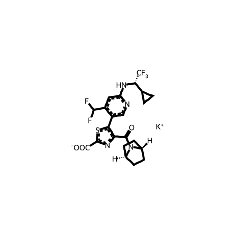 O=C([O-])c1nc(C(=O)N2[C@H]3CC[C@H]2CC3)c(-c2cnc(N[C@@H](C3CC3)C(F)(F)F)cc2C(F)F)s1.[K+]